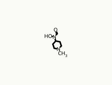 CN1CCC(N(O)C=O)CC1